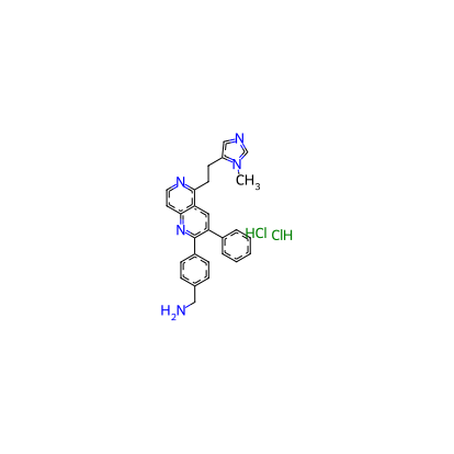 Cl.Cl.Cn1cncc1CCc1nccc2nc(-c3ccc(CN)cc3)c(-c3ccccc3)cc12